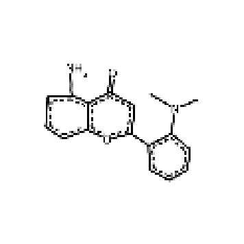 CN(C)c1ccccc1-c1cc(=O)c2c(N)cccc2o1